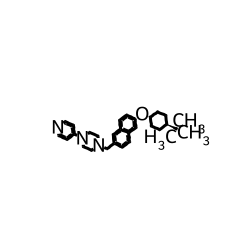 CC(C)(C)[C@H]1CC[C@H](Oc2ccc3cc(CN4CCN(c5ccncc5)CC4)ccc3c2)CC1